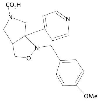 COc1ccc(CN2OCC3CN(C(=O)O)CC32c2ccncc2)cc1